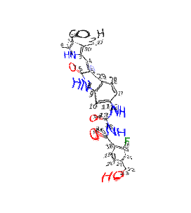 Cc1[nH]c(/C=C2\C(=O)Nc3cc(NC(=O)NC(=O)c4ccc(CO)cc4F)ccc32)c(C)c1C(=O)O